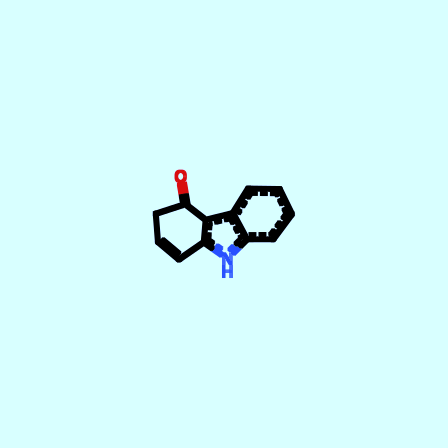 O=C1CC=Cc2[nH]c3ccccc3c21